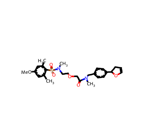 COc1cc(C)c(S(=O)(=O)N(C)CCOCC(=O)N(C)Cc2ccc(C3CC=CO3)cc2)c(C)c1